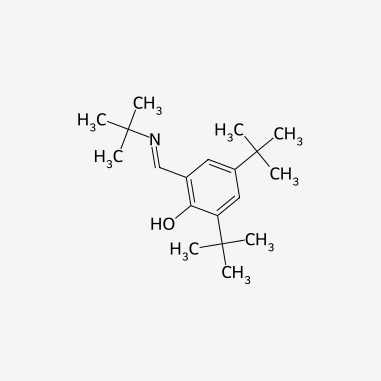 CC(C)(C)N=Cc1cc(C(C)(C)C)cc(C(C)(C)C)c1O